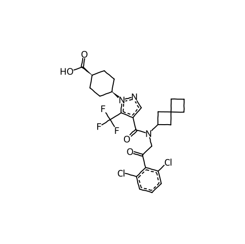 O=C(CN(C(=O)c1cnn([C@H]2CC[C@@H](C(=O)O)CC2)c1C(F)(F)F)C1CC2(CCC2)C1)c1c(Cl)cccc1Cl